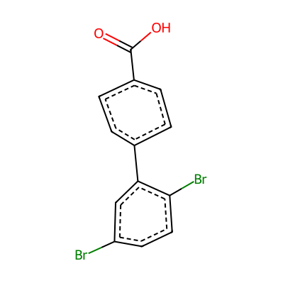 O=C(O)c1ccc(-c2cc(Br)ccc2Br)cc1